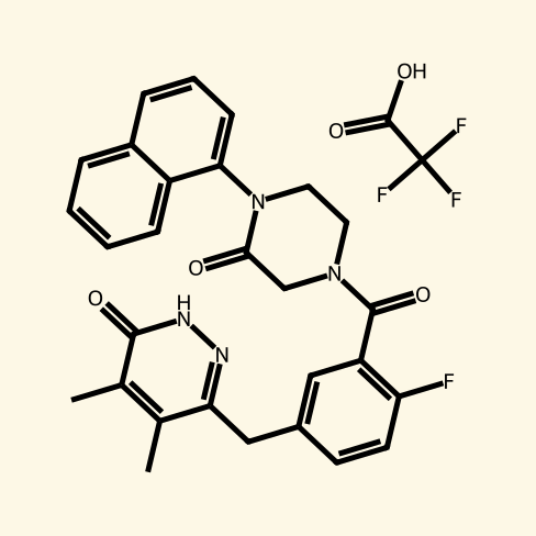 Cc1c(Cc2ccc(F)c(C(=O)N3CCN(c4cccc5ccccc45)C(=O)C3)c2)n[nH]c(=O)c1C.O=C(O)C(F)(F)F